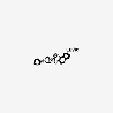 COc1ccc2ccc(OC(=O)N3CCN(c4ccccc4)CC3)c(Br)c2c1